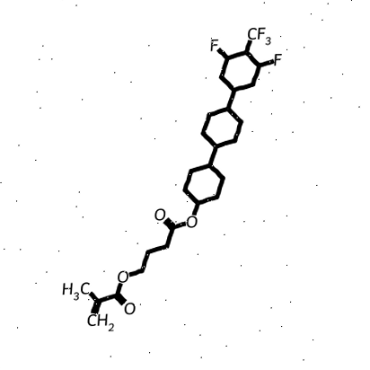 C=C(C)C(=O)OCCCC(=O)OC1CCC(C2CCC(C3CC(F)C(C(F)(F)F)C(F)C3)CC2)CC1